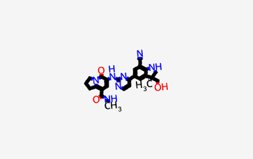 CNC(=O)c1cc(Nc2nccc(-c3cc(C#N)c4c(c3)[C@@](C)(CO)CN4)n2)c(=O)n2c1CCC2